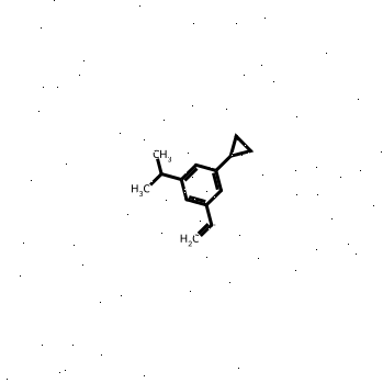 C=[C]c1cc(C(C)C)cc(C2CC2)c1